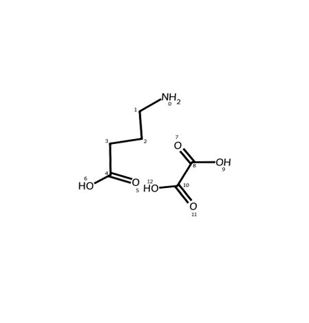 NCCCC(=O)O.O=C(O)C(=O)O